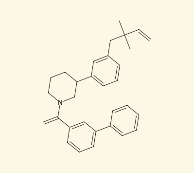 C=CC(C)(C)Cc1cccc(C2CCCN(C(=C)c3cccc(-c4ccccc4)c3)C2)c1